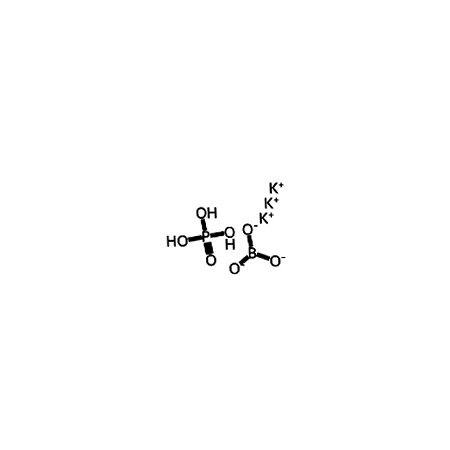 O=P(O)(O)O.[K+].[K+].[K+].[O-]B([O-])[O-]